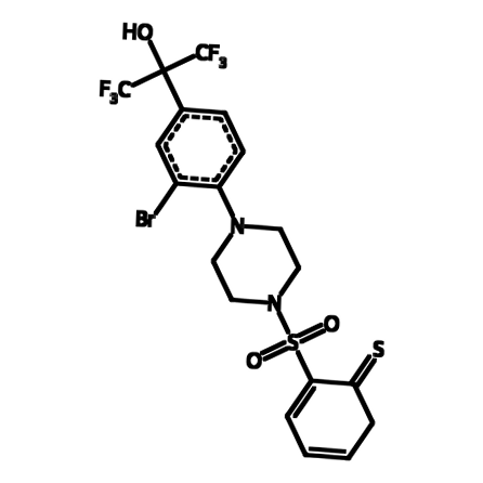 O=S(=O)(C1=CC=CCC1=S)N1CCN(c2ccc(C(O)(C(F)(F)F)C(F)(F)F)cc2Br)CC1